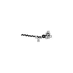 CCCCCCCCCCCCOCC(O)COc1ccc(-c2nc(Cl)nc(Cl)n2)c(O)c1